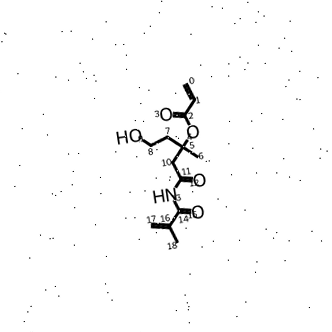 C=CC(=O)OC(C)(CCO)CC(=O)NC(=O)C(=C)C